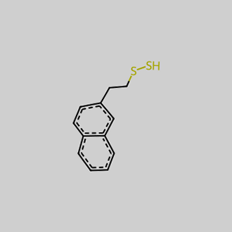 SSCCc1ccc2ccccc2c1